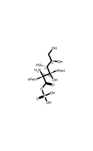 CCCCC[C@](N)(C(=O)OP(=O)(O)O)[C@](O)(CCCCC)[C@H](O)[C@H](O)CO